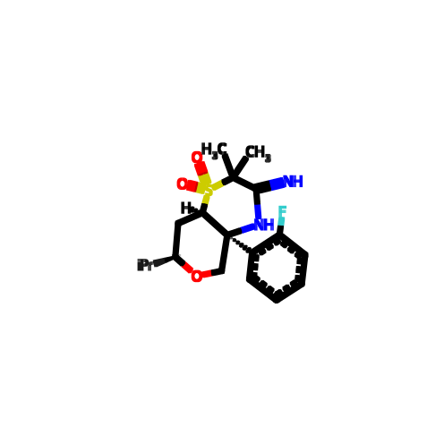 CC(C)[C@H]1C[C@@H]2[C@](c3ccccc3F)(CO1)NC(=N)C(C)(C)S2(=O)=O